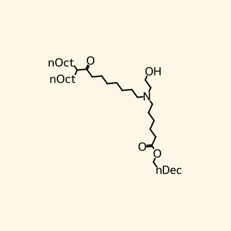 CCCCCCCCCCCOC(=O)CCCCCN(CCO)CCCCCCCC(=O)C(CCCCCCCC)CCCCCCCC